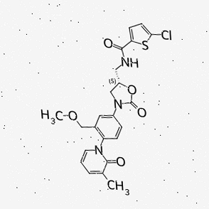 COCc1cc(N2C[C@H](CNC(=O)c3ccc(Cl)s3)OC2=O)ccc1-n1cccc(C)c1=O